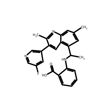 Cc1cc(C(C)Nc2ccccc2C(=O)O)c2cc(-c3cncc(F)c3)c(C)nc2c1